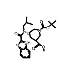 COC(=O)C1C[C@H](N(CC(C)C)C(=O)c2nc3ccccc3[nH]2)CN(C(=O)OC(C)(C)C)C1